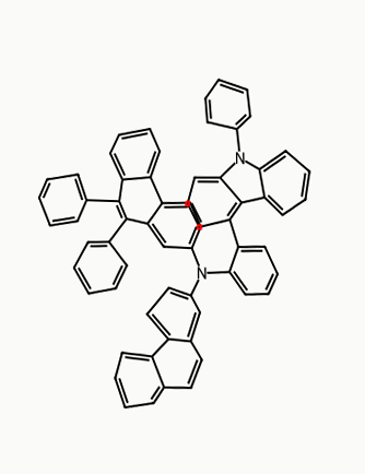 c1ccc(-c2c(-c3ccccc3)c3cc(N(c4ccc5c(ccc6ccccc65)c4)c4ccccc4-c4cccc5c4c4ccccc4n5-c4ccccc4)ccc3c3ccccc23)cc1